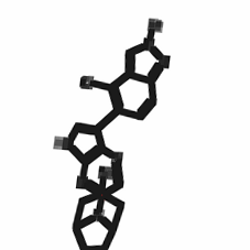 CCn1cc2c(Cl)c(-c3c[nH]c4nc(N5C6CCC5CC(N)C6)cnc34)ccc2n1